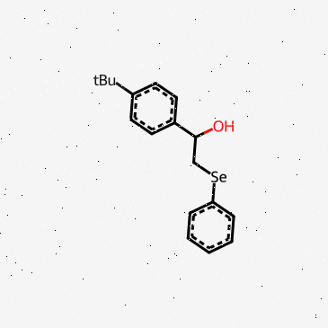 CC(C)(C)c1ccc(C(O)C[Se]c2ccccc2)cc1